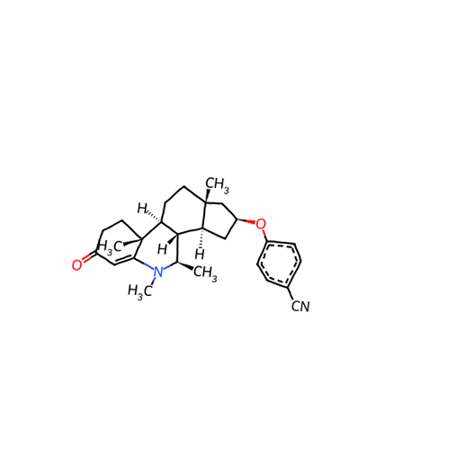 C[C@@H]1[C@H]2[C@@H]3C[C@H](Oc4ccc(C#N)cc4)C[C@@]3(C)CC[C@@H]2[C@@]2(C)CCC(=O)C=C2N1C